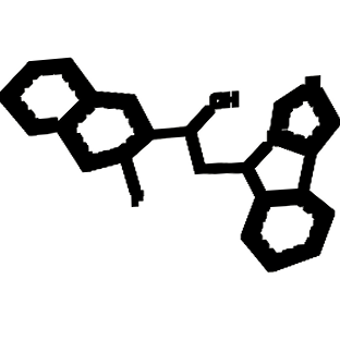 OC(CC1c2ccccc2-c2cncn21)c1cc2ccccc2cc1F